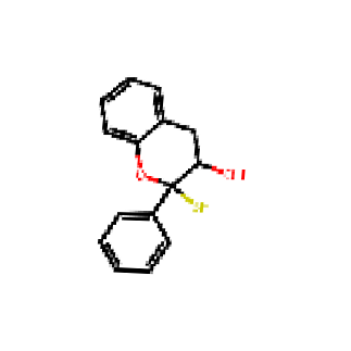 OC1Cc2ccccc2OC1(S)c1ccccc1